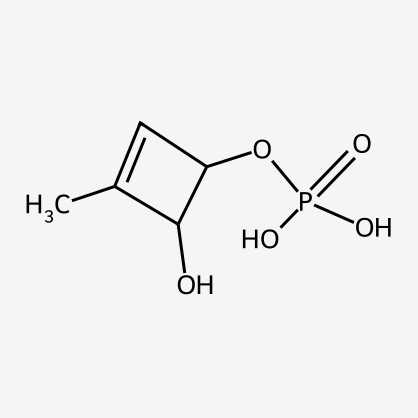 CC1=CC(OP(=O)(O)O)C1O